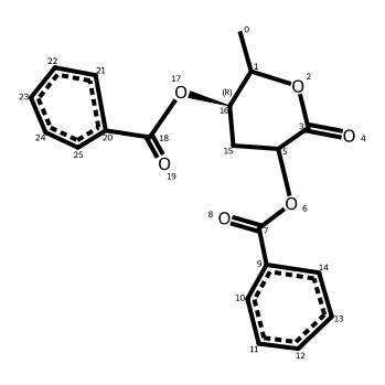 CC1OC(=O)C(OC(=O)c2ccccc2)C[C@H]1OC(=O)c1ccccc1